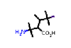 CC(C(C(=O)O)C(C)(C)N)C(C)(C)I